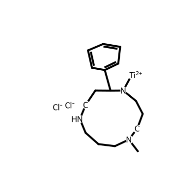 CN1CCCNCCC(c2ccccc2)[N]([Ti+2])CCC1.[Cl-].[Cl-]